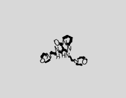 O=c1c(CNCCN2CCOCC2)c(NCCN2CCOCC2)nc2ccccn12